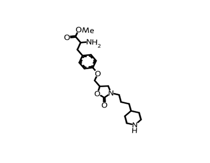 COC(=O)C(N)Cc1ccc(OCC2CN(CCCC3CCNCC3)C(=O)O2)cc1